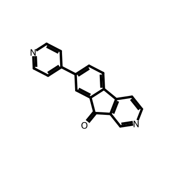 O=C1c2cnccc2-c2ccc(-c3ccncc3)cc21